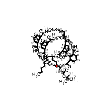 CCCCCC1CN2CCNC(=O)c3cccc(c3OC)C(=O)NCCN(CCNC(=O)c3cccc(c3OC)C(=O)N1)CCN1CCNC(=O)c3cccc(c3OC)C(=O)NCCN(CC2)CC(CCCCNC(=O)OC(C)(C)C)NC(=O)c2cccc(c2OC)C(=O)NCC1